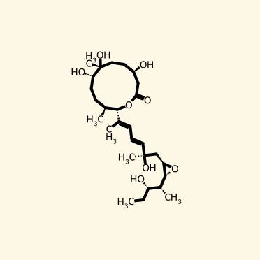 CC[C@H](O)[C@@H](C)[C@H]1O[C@@H]1C[C@@](C)(O)/C=C/C=C(\C)[C@H]1OC(=O)C[C@H](O)CC[C@@](C)(O)[C@@H](O)CC[C@@H]1C